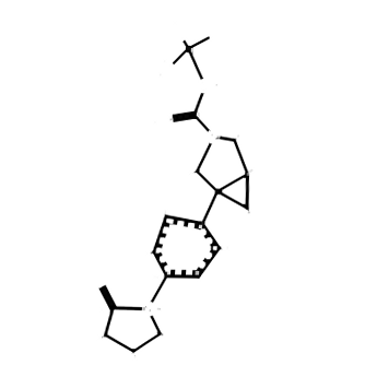 CC(C)(C)OC(=O)N1CC2CC2(c2ccc(N3CCCC3=O)cc2)C1